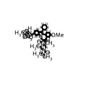 COc1ccc2c(c1)[C@@H]1C[C@]1(C(=O)N1C(C)CN(C(=O)N(C)C)C[C@H]1C)Cn1c-2c(C2CCCCC2)c2ccc(C(=O)NS(=O)(=O)N(C)C)cc21